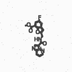 COC(=O)c1cc(F)cc2cc(CNC(=O)c3cnc4cccnn34)oc12